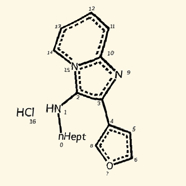 CCCCCCCNc1c(-c2ccoc2)nc2ccccn12.Cl